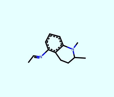 C/C=N/c1cccc2c1CCC(C)N2C